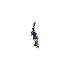 CCCCCCCCc1ccc(-c2ccc(OCCCC(C)CC)cc2)cn1